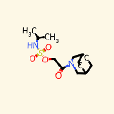 CC(C)NS(=O)(=O)OCC(=O)N1CC2CCC(CC2)C1